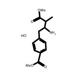 COC(=O)c1ccc(CC(N)C(C)C(=O)OC)cc1.Cl